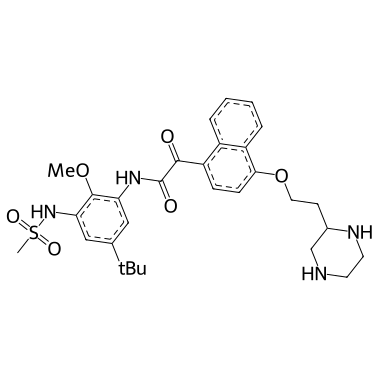 COc1c(NC(=O)C(=O)c2ccc(OCCC3CNCCN3)c3ccccc23)cc(C(C)(C)C)cc1NS(C)(=O)=O